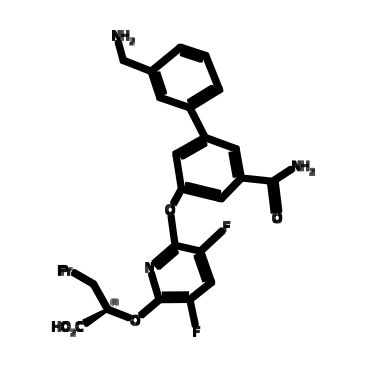 CC(C)C[C@@H](Oc1nc(Oc2cc(C(N)=O)cc(-c3cccc(CN)c3)c2)c(F)cc1F)C(=O)O